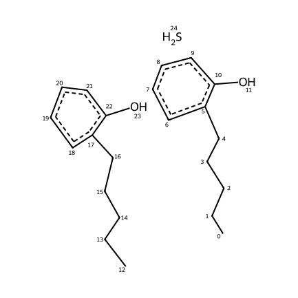 CCCCCc1ccccc1O.CCCCCc1ccccc1O.S